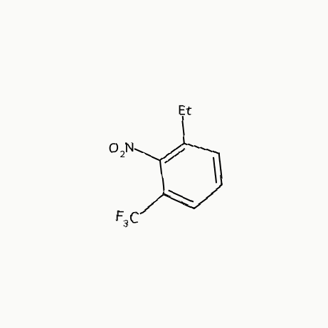 [CH2]Cc1cccc(C(F)(F)F)c1[N+](=O)[O-]